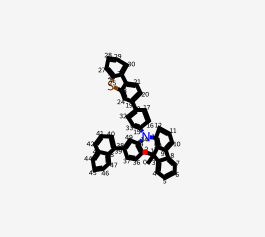 CC1(C)c2ccccc2-c2cccc(N(c3ccc(-c4ccc5c(c4)sc4ccccc45)cc3)c3cccc(-c4cccc5ccccc45)c3)c21